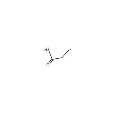 [CH2]CC(=O)S